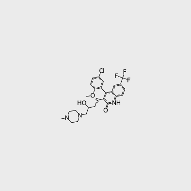 COc1ccc(Cl)cc1-c1c(SCC(O)CN2CCN(C)CC2)c(=O)[nH]c2ccc(C(F)(F)F)cc12